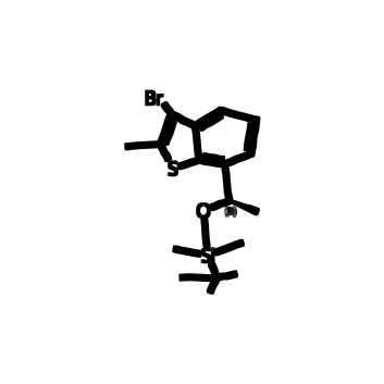 Cc1sc2c([C@@H](C)O[Si](C)(C)C(C)(C)C)cccc2c1Br